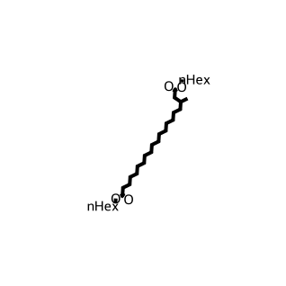 CCCCCCOC(=O)CCCCCCCCCCCCCCCCC(C)CC(=O)OCCCCCC